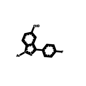 CC(=O)n1nc(-c2ccc(F)cc2)c2cc(C=O)ccc21